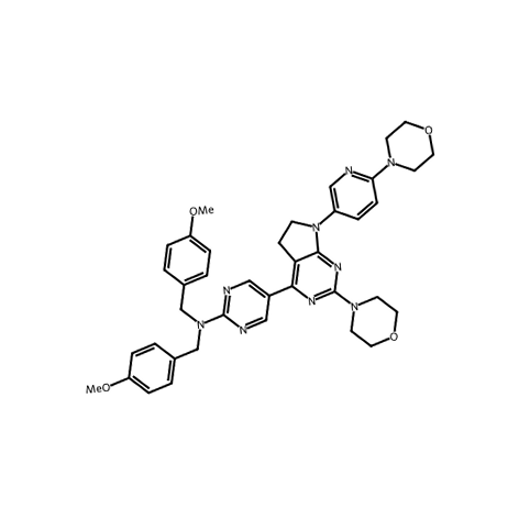 COc1ccc(CN(Cc2ccc(OC)cc2)c2ncc(-c3nc(N4CCOCC4)nc4c3CCN4c3ccc(N4CCOCC4)nc3)cn2)cc1